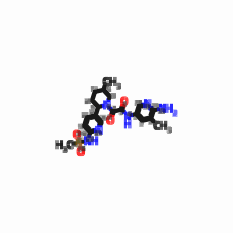 Cc1cc(NC(=O)C(=O)N2CC(C)CCC2c2ccc(NS(C)(=O)=O)nc2)cnc1N